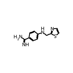 N=C(N)c1ccc(NCc2nccs2)cc1